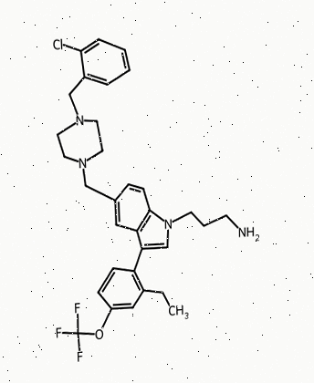 CCc1cc(OC(F)(F)F)ccc1-c1cn(CCCN)c2ccc(CN3CCN(Cc4ccccc4Cl)CC3)cc12